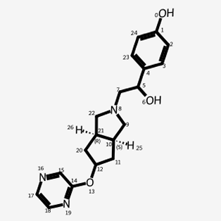 Oc1ccc(C(O)CN2C[C@H]3CC(Oc4cnccn4)C[C@H]3C2)cc1